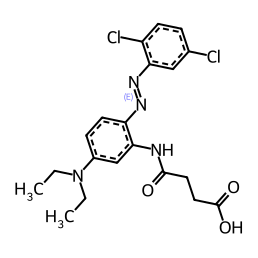 CCN(CC)c1ccc(/N=N/c2cc(Cl)ccc2Cl)c(NC(=O)CCC(=O)O)c1